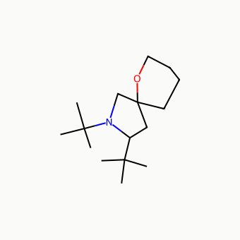 CC(C)(C)C1CC2(CCCCO2)CN1C(C)(C)C